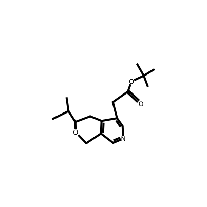 CC(C)C1Cc2c(cncc2CC(=O)OC(C)(C)C)CO1